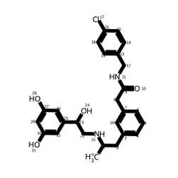 CC(Cc1cccc(CC(=O)NCc2ccc(Cl)cc2)c1)NCC(O)c1cc(O)cc(O)c1